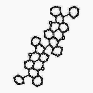 c1ccc(-c2c3ccccc3c3oc4ccc5c(-c6c7ccccc7c7oc8ccc9c(-c%10ccccc%10)c%10ccccc%10c%10oc%11ccc6c7c%11-c8c9%10)c6ccccc6c6oc7ccc2c3c7-c4c56)cc1